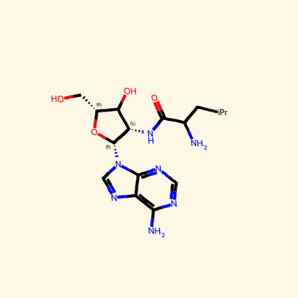 CC(C)CC(N)C(=O)N[C@H]1C(O)[C@@H](CO)O[C@H]1n1cnc2c(N)ncnc21